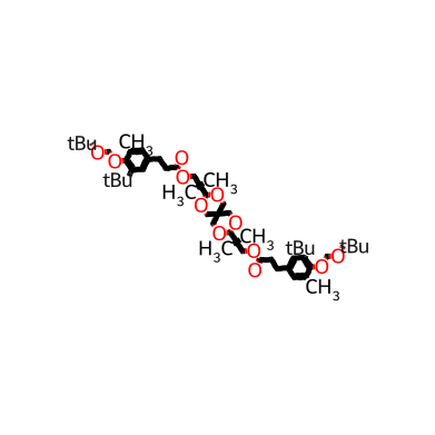 Cc1cc(CCC(=O)OCC(C)(C)C2OCC3(CO2)COC(C(C)(C)COC(=O)CCc2cc(C)c(OCOC(C)(C)C)c(C(C)(C)C)c2)OC3)cc(C(C)(C)C)c1OCOC(C)(C)C